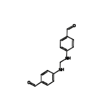 O=Cc1ccc(NCNc2ccc(C=O)cc2)cc1